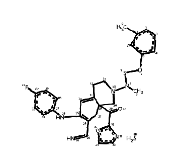 Cc1cccc(OSN(C)N2CCC3=CC(Nc4ccc(F)cc4)=C(C=N)CC3(C(=O)c3ncco3)C2)c1.S